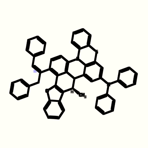 C[C@H]1c2c(oc3ccccc23)-c2c(/C(=C\c3ccccc3)Cc3ccccc3)ccc3c2C1c1cc(N(c2ccccc2)c2ccccc2)cc2c1B3c1ccccc1S2